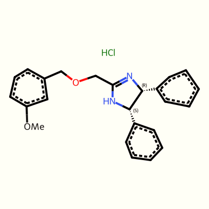 COc1cccc(COCC2=N[C@H](c3ccccc3)[C@H](c3ccccc3)N2)c1.Cl